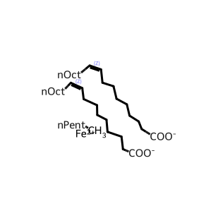 CCCCCC.CCCCCCCC/C=C\CCCCCCCC(=O)[O-].CCCCCCCC/C=C\CCCCCCCC(=O)[O-].[Fe+2]